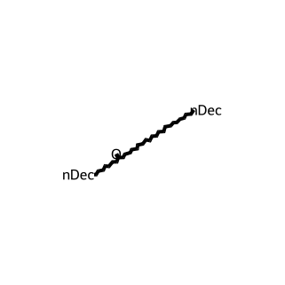 CCCCCCCCCCCCCCCCCCCCCCCCCCCCCCCC(=O)CCCCCCCCCCCCCCCCC